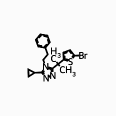 CC(C)(c1ccc(Br)s1)c1nnc(C2CC2)n1CCc1ccccc1